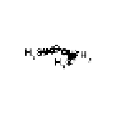 CCON=Cc1ccc(OCCC2CCN(c3nc(OC)nc(OC)n3)CC2)cc1